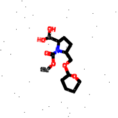 CC(C)(C)OC(=O)N1C(COC2CCCCO2)CCC1B(O)O